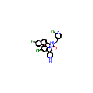 O=C(NCc1ccnc(Cl)c1)[N+]1(Cc2ccc3cc(F)ccc3c2)CC2(CCNCC2)c2cc(Cl)ccc21